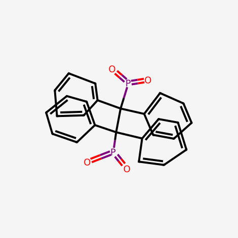 O=P(=O)C(c1ccccc1)(c1ccccc1)C(c1ccccc1)(c1ccccc1)P(=O)=O